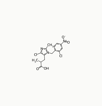 Cc1nc(Cl)c(CC(C)C(=O)O)n1Cc1ccc([N+](=O)[O-])cc1Cl